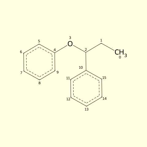 CCC(Oc1ccccc1)c1ccccc1